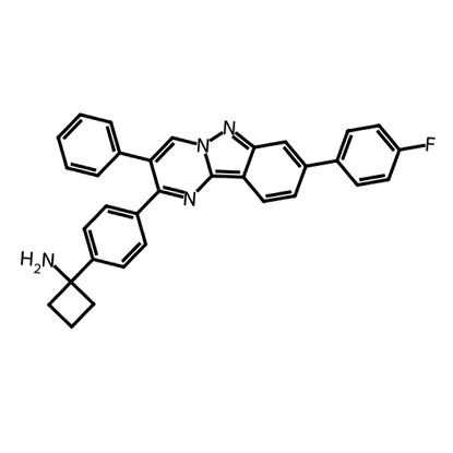 NC1(c2ccc(-c3nc4c5ccc(-c6ccc(F)cc6)cc5nn4cc3-c3ccccc3)cc2)CCC1